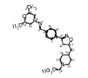 CC1CN(N=Cc2ccc(C3=NOC(CC4CCN(CC(=O)O)CC4)C3)cc2)CC(C)O1